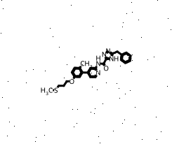 CSCCCOc1ccc(C)c(-c2ccnc(NC(=O)c3nnc(Cc4ccccc4)[nH]3)c2)c1